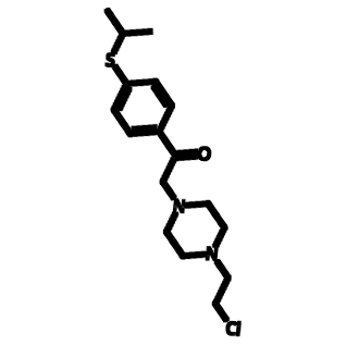 CC(C)Sc1ccc(C(=O)CN2CCN(CCCl)CC2)cc1